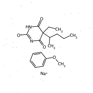 CCCC(C)C1(CC)C(=O)N=C([O-])NC1=O.COc1ccccc1.[Na+]